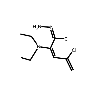 C=C(Cl)/C=C(\C(Cl)=N/N)N(CC)CC